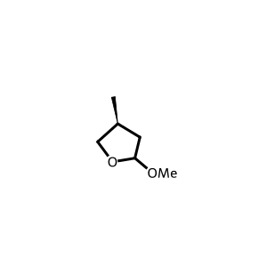 COC1C[C@H](C)CO1